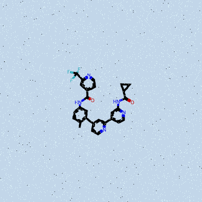 Cc1ccc(NC(=O)c2ccnc(C(F)(F)F)c2)cc1-c1ccnc(-c2ccnc(NC(=O)C3CC3)c2)c1